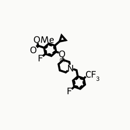 COC(=O)c1cc(C2CC2)c(O[C@@H]2CCCN(Cc3cc(F)ccc3C(F)(F)F)C2)cc1F